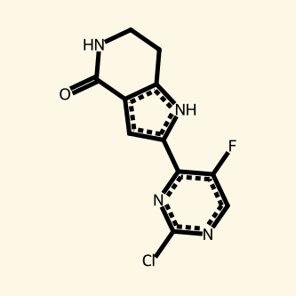 O=C1NCCc2[nH]c(-c3nc(Cl)ncc3F)cc21